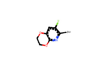 CC(=O)c1nc2c(cc1F)OCCO2